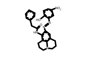 O=C(Cc1ccccc1)Nc1c(N=Nc2cc([N+](=O)[O-])ccc2O)cc2c3c1CCCN3CCC2